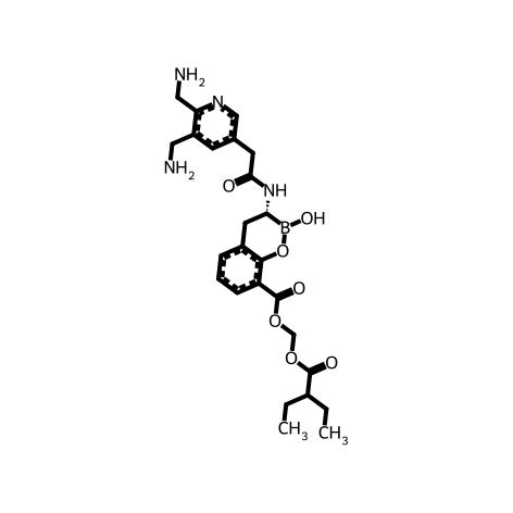 CCC(CC)C(=O)OCOC(=O)c1cccc2c1OB(O)[C@@H](NC(=O)Cc1cnc(CN)c(CN)c1)C2